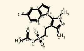 Cc1nn(C)c(-n2ccc3cc(Cl)cnc32)c1CCS(=O)(=O)OC(N)=O